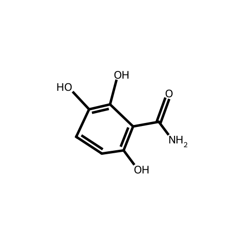 NC(=O)c1c(O)ccc(O)c1O